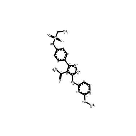 CCS(=O)(=O)Nc1ccc(-c2n[nH]c(Nc3ccnc(OC)n3)c2C(N)=O)cc1